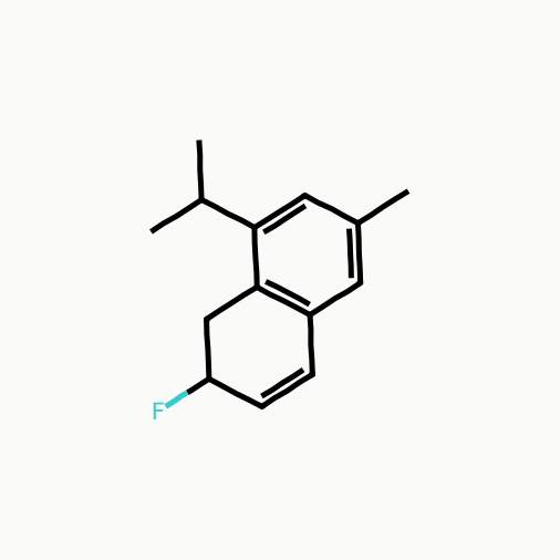 Cc1cc2c(c(C(C)C)c1)CC(F)C=C2